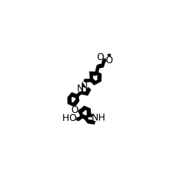 COC(=O)C=Cc1cccc(Cn2ccc(-c3cccc(Oc4ccc5[nH]ccc5c4CO)c3)n2)c1